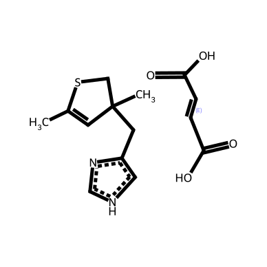 CC1=CC(C)(Cc2c[nH]cn2)CS1.O=C(O)/C=C/C(=O)O